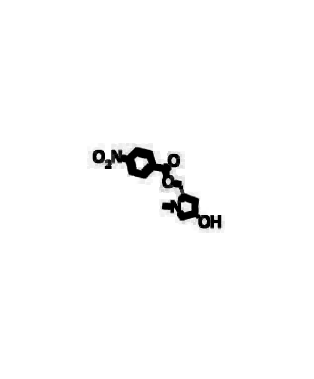 CN1C[C@@H](O)C[C@H]1COC(=O)c1ccc([N+](=O)[O-])cc1